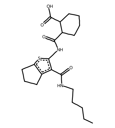 CCCCCNC(=O)c1c(NC(=O)C2CCCCC2C(=O)O)sc2c1CCC2